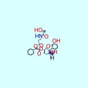 C[C@H](O)C(=O)NCCC(=O)O[C@H](C(=O)OC1=CC[C@@]2(O)[C@H]3Cc4ccc(O)c5c4C2(CCN3C)C1O5)c1ccccc1